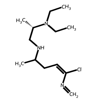 C=N/C(Cl)=C\CC(C)NC[C@H](C)N(CC)CC